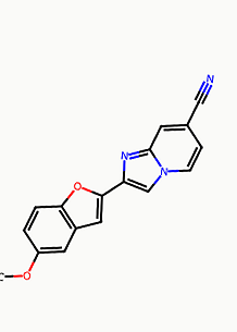 COc1ccc2oc(-c3cn4ccc(C#N)cc4n3)cc2c1